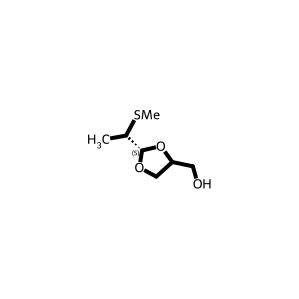 CSC(C)[C@H]1OCC(CO)O1